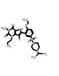 CCCn1c(=O)n(C)c(=O)c2[nH]c(-c3cc(S(=O)(=O)N4CCN(C(C)C)CC4)ccc3OCC)c(I)c21